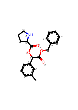 Cc1cccc(C(OC(=O)C2CCCN2)C(=O)OCc2ccccc2)c1